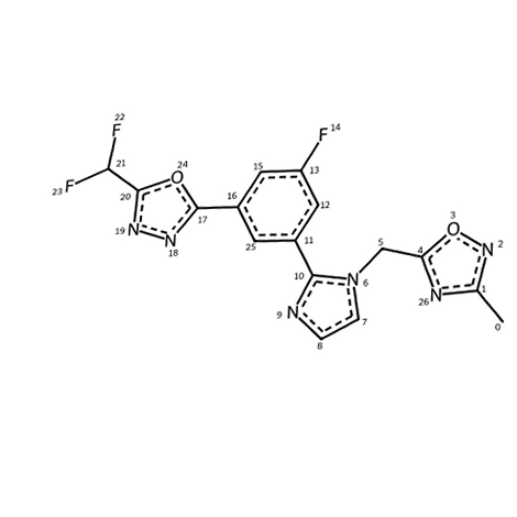 Cc1noc(Cn2ccnc2-c2cc(F)cc(-c3nnc(C(F)F)o3)c2)n1